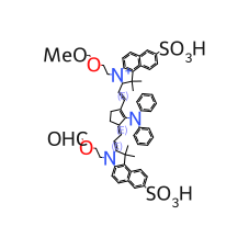 COCOCC[N+]1=C(/C=C/C2=C(N(c3ccccc3)c3ccccc3)C(=C/C=C3/N(CCOC=O)c4ccc5cc(S(=O)(=O)O)ccc5c4C3(C)C)/CC2)C(C)(C)c2c1ccc1cc(S(=O)(=O)O)ccc21